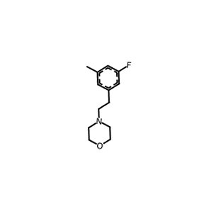 Cc1cc(F)cc(CCN2CCOCC2)c1